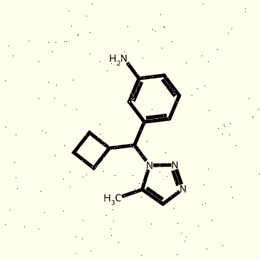 Cc1cnnn1C(c1cccc(N)c1)C1CCC1